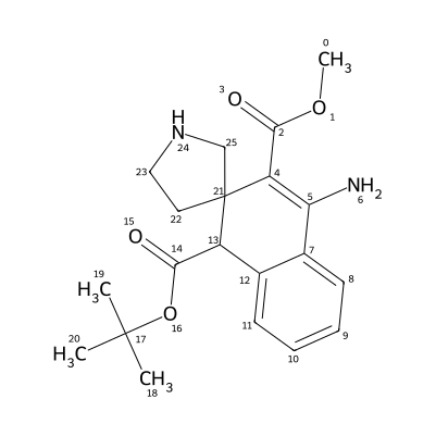 COC(=O)C1=C(N)c2ccccc2C(C(=O)OC(C)(C)C)C12CCNC2